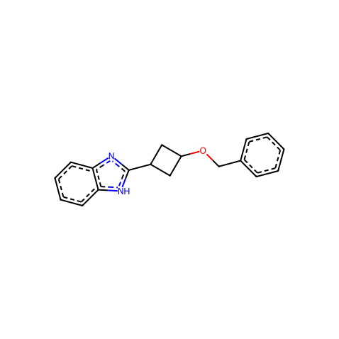 c1ccc(COC2CC(c3nc4ccccc4[nH]3)C2)cc1